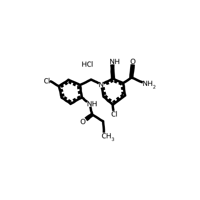 CCC(=O)Nc1ccc(Cl)cc1Cn1cc(Cl)cc(C(N)=O)c1=N.Cl